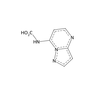 O=C(O)Nc1ccnc2ccnn12